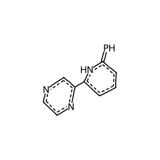 P=c1cccc(-c2cnccn2)[nH]1